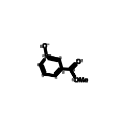 COC(=O)c1cc[c][n+]([O-])c1